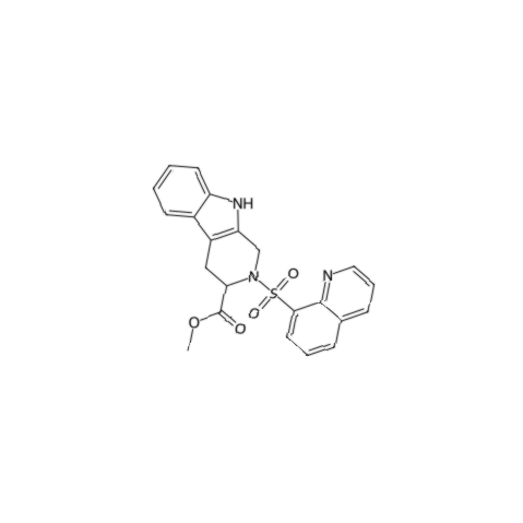 COC(=O)C1Cc2c([nH]c3ccccc23)CN1S(=O)(=O)c1cccc2cccnc12